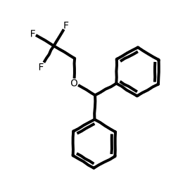 FC(F)(F)COC(c1ccccc1)c1ccccc1